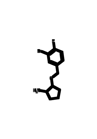 NC1CCCC1OCc1ccc(F)c(Br)c1